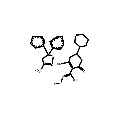 CCC/C(=N\OCC)C1=C(O)CC(C2CCCSC2)CC1=O.O=C(O)C1=NOC(c2ccccc2)(c2ccccc2)C1